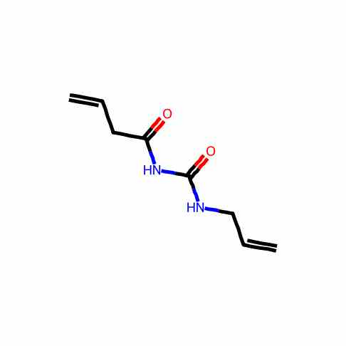 C=CCNC(=O)NC(=O)CC=C